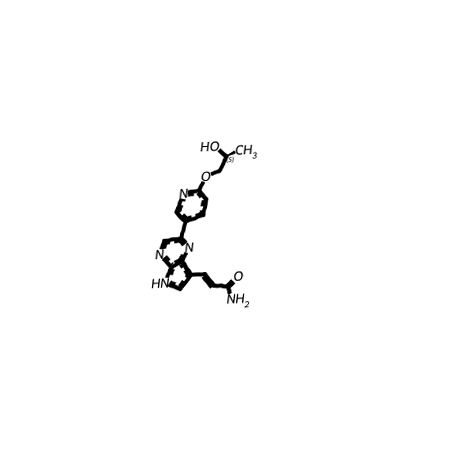 C[C@H](O)COc1ccc(-c2cnc3[nH]cc(C=CC(N)=O)c3n2)cn1